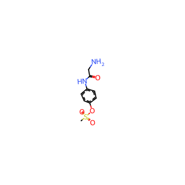 CS(=O)(=O)Oc1ccc(NC(=O)CN)cc1